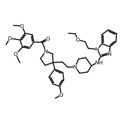 CCOCCn1c(NC2CCN(CCC3(c4ccc(OC)cc4)CCN(C(=O)c4cc(OC)c(OC)c(OC)c4)C3)CC2)nc2ccccc21